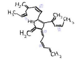 C=C/C=C\C=c1\c(C(=C)/C=C\C)c(/C=C\C(=C)/C=C\C)[nH]c1=C